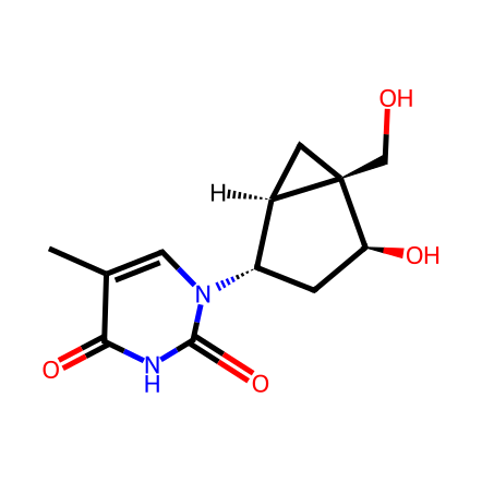 Cc1cn([C@H]2C[C@H](O)[C@@]3(CO)C[C@H]23)c(=O)[nH]c1=O